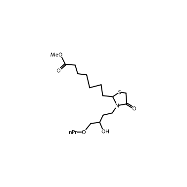 CCCOCC(O)CCN1C(=O)CSC1CCCCCCC(=O)OC